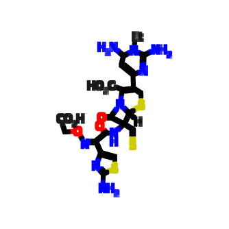 CCN1C(N)=NC(C2=C(C(=O)O)N3C(=O)[C@](C=S)(NC(=O)/C(=N\OCC(=O)O)c4csc(N)n4)[C@H]3SC2)=CC1N